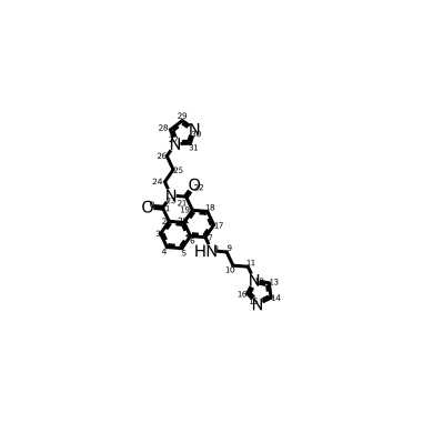 O=C1c2cccc3c(NCCCn4ccnc4)ccc(c23)C(=O)N1CCCn1ccnc1